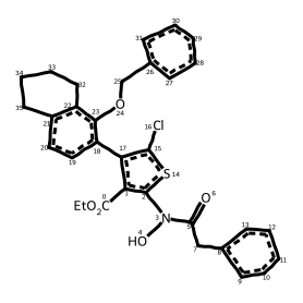 CCOC(=O)c1c(N(O)C(=O)Cc2ccccc2)sc(Cl)c1-c1ccc2c(c1OCc1ccccc1)CCCC2